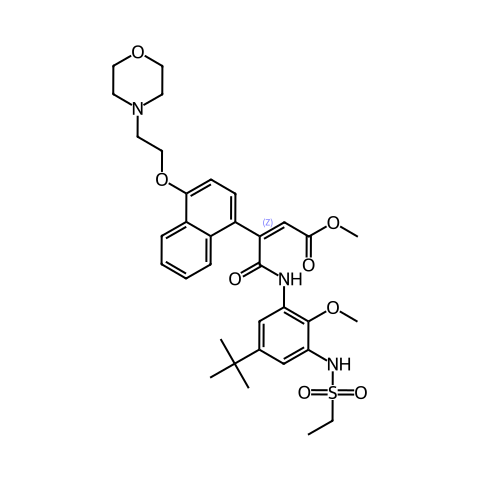 CCS(=O)(=O)Nc1cc(C(C)(C)C)cc(NC(=O)/C(=C\C(=O)OC)c2ccc(OCCN3CCOCC3)c3ccccc23)c1OC